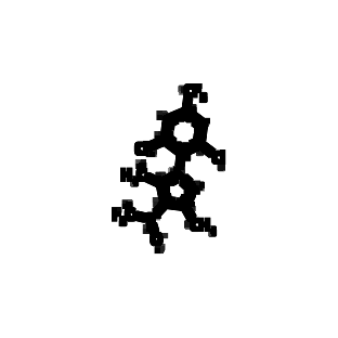 Cc1nn(-c2c(Cl)cc(C(F)(F)F)cc2Cl)c(C)c1[S+]([O-])C(F)(F)F